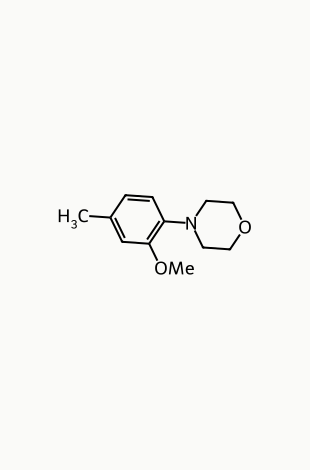 COc1cc(C)ccc1N1CCOCC1